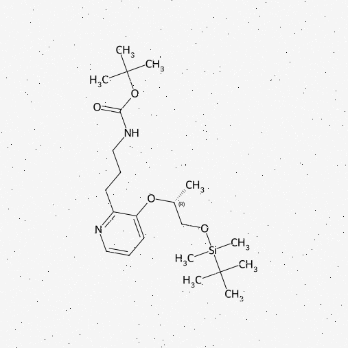 C[C@H](CO[Si](C)(C)C(C)(C)C)Oc1cccnc1CCCNC(=O)OC(C)(C)C